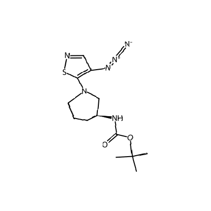 CC(C)(C)OC(=O)N[C@H]1CCCN(c2sncc2N=[N+]=[N-])C1